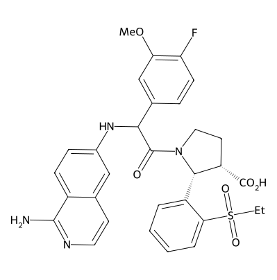 CCS(=O)(=O)c1ccccc1[C@H]1[C@@H](C(=O)O)CCN1C(=O)C(Nc1ccc2c(N)nccc2c1)c1ccc(F)c(OC)c1